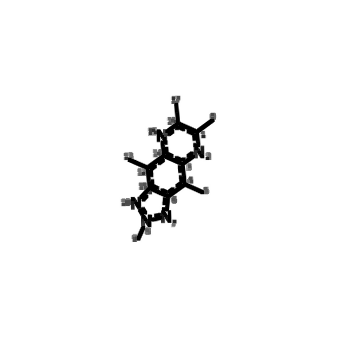 Cc1nc2c(C)c3nn(C)nc3c(C)c2nc1C